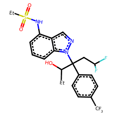 CCC(O)C(CC(F)F)(c1ccc(C(F)(F)F)cc1)n1ncc2c(NS(=O)(=O)CC)cccc21